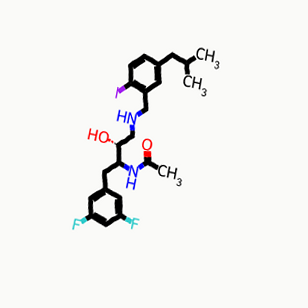 CC(=O)NC(Cc1cc(F)cc(F)c1)[C@H](O)CNCc1cc(CC(C)C)ccc1I